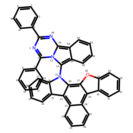 c1ccc(-c2nc(-c3ccccc3)n3c(-n4c5ccccc5c5c6ccccc6c6c7ccccc7oc6c54)c4ccccc4c3n2)cc1